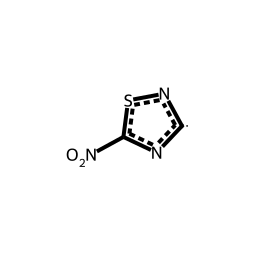 O=[N+]([O-])c1n[c]ns1